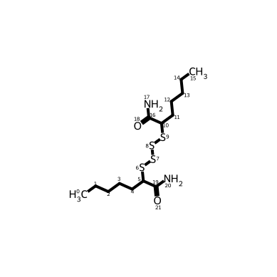 CCCCCC(SSSSC(CCCCC)C(N)=O)C(N)=O